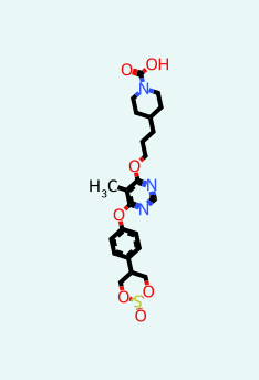 Cc1c(OCCCC2CCN(C(=O)O)CC2)ncnc1Oc1ccc(C2COS(=O)OC2)cc1